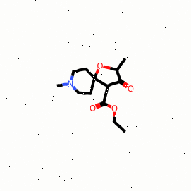 CCOC(=O)C1C(=O)C(C)OC12CCN(C)CC2